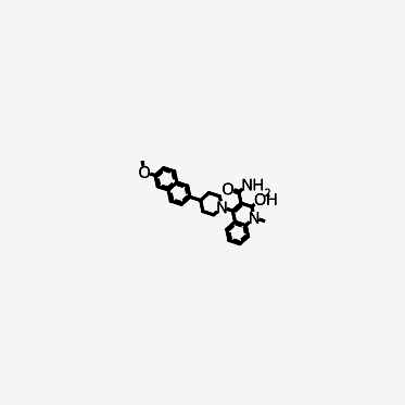 COc1ccc2cc(C3CCN(C4=C(C(N)=O)C(O)N(C)c5ccccc54)CC3)ccc2c1